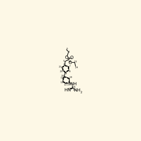 CCOP(=O)(Cc1ccc(-c2[c]ccc(NC(=N)N)c2)cc1)OCC